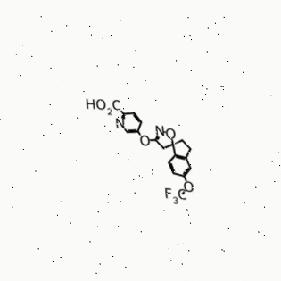 O=C(O)c1ccc(OC2=NO[C@@]3(CCc4cc(OC(F)(F)F)ccc43)C2)cn1